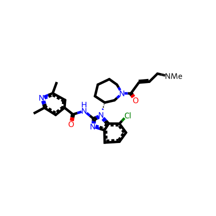 CNC/C=C/C(=O)N1CCCC[C@@H](n2c(NC(=O)c3cc(C)nc(C)c3)nc3cccc(Cl)c32)C1